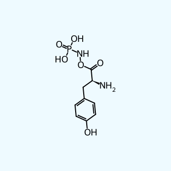 N[C@@H](Cc1ccc(O)cc1)C(=O)ONP(=O)(O)O